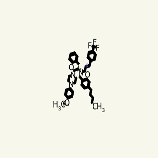 CCCCCc1ccc(CN(C(=O)/C=C/c2ccc(C(F)(F)F)cc2)[C@@H](Cc2ccccc2)C(=O)N2CCN(c3ccc(OC)cc3)CC2)cc1